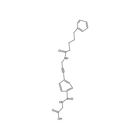 O=C(O)CNC(=O)c1ccc(C#CCNC(=O)CCCCc2ccccc2)cc1